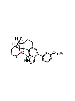 CCCOc1cccc(-c2cc3c(cc2F)[C@@](OC(N)=O)([C@@H]2CN4CCC2CC4)C(C)(C)CC3)c1